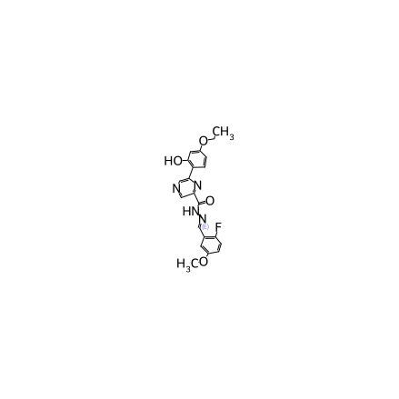 CCOc1ccc(-c2cncc(C(=O)N/N=C/c3cc(OC)ccc3F)n2)c(O)c1